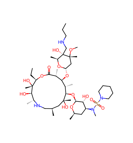 CCCNC[C@]1(O)[C@H](C)O[C@@H](O[C@H]2[C@H](C)[C@@H](O[C@@H]3O[C@H](C)C[C@H](N(C)S(=O)(=O)N4CCCCC4)[C@H]3O)[C@](C)(O)C[C@@H](C)CN[C@H](C)[C@@H](O)[C@](C)(O)[C@@H](CC)OC(=O)[C@@H]2C)C[C@@]1(C)OC